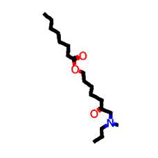 CCCCCCCC(=O)OCCCCCC(=O)CN(C)CCC